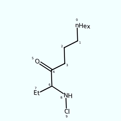 CCCCCCCCCC(=O)C(CC)NCl